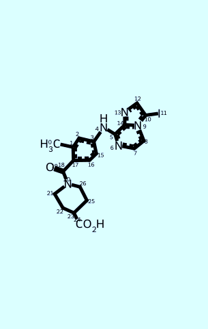 Cc1cc(Nc2nccn3c(I)cnc23)ccc1C(=O)N1CCC(C(=O)O)CC1